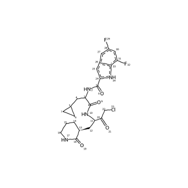 O=C(NC(CC1CC1)C(=O)NC(C[C@@H]1CCCNC1=O)C(=O)CCl)c1cc2cc(F)cc(F)c2[nH]1